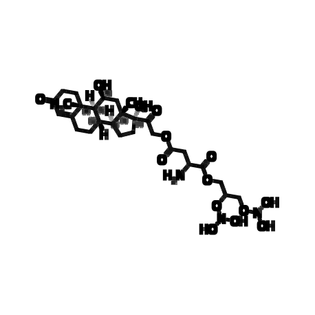 C[C@]12CCC(=O)C=C1CC[C@@H]1[C@@H]2[C@@H](O)C[C@@]2(C)[C@H]1CC[C@]2(O)C(=O)COC(=O)CC(N)C(=O)OCC(CON(O)O)ON(O)O